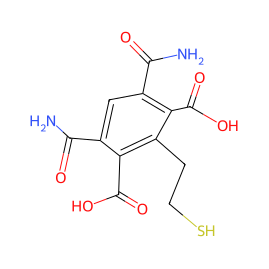 NC(=O)c1cc(C(N)=O)c(C(=O)O)c(CCS)c1C(=O)O